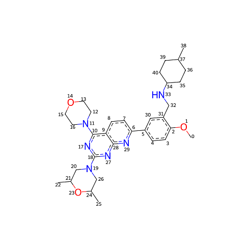 COc1ccc(-c2ccc3c(N4CCOCC4)nc(N4CC(C)OC(C)C4)nc3n2)cc1CNC1CCC(C)CC1